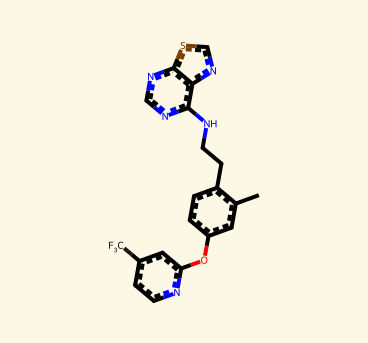 Cc1cc(Oc2cc(C(F)(F)F)ccn2)ccc1CCNc1ncnc2scnc12